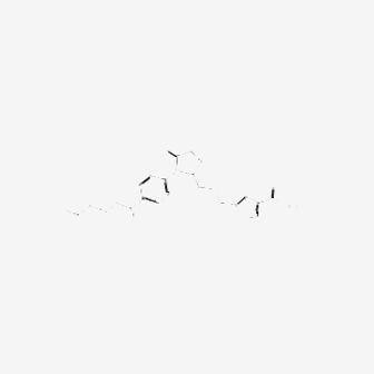 CCCCCC(F)c1ccc(N2C(=O)CCC2COCc2cc(C(=O)O)cs2)cc1